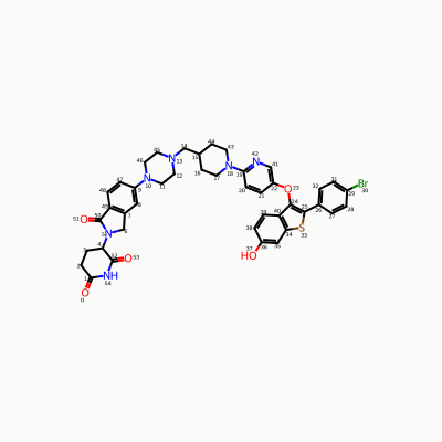 O=C1CCC(N2Cc3cc(N4CCN(CC5CCN(c6ccc(Oc7c(-c8ccc(Br)cc8)sc8cc(O)ccc78)cn6)CC5)CC4)ccc3C2=O)C(=O)N1